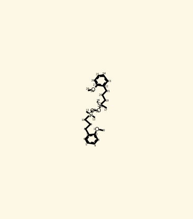 COc1ccccc1CCC[Si](C)(C)OO[Si](C)(C)CCCc1ccccc1OC